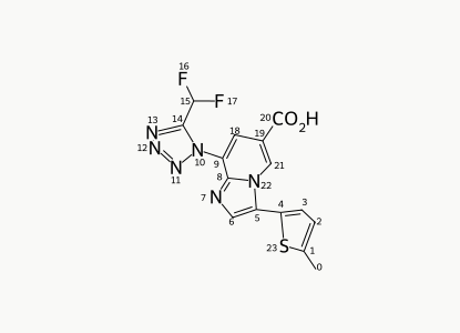 Cc1ccc(-c2cnc3c(-n4nnnc4C(F)F)cc(C(=O)O)cn23)s1